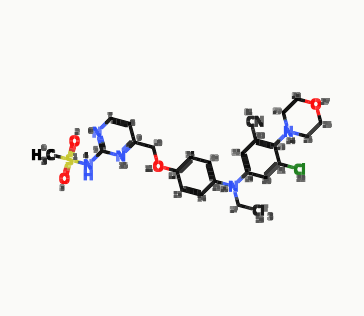 CS(=O)(=O)Nc1nccc(COc2ccc(N(CC(F)(F)F)c3cc(Cl)c(N4CCOCC4)c(C#N)c3)cc2)n1